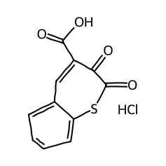 Cl.O=C(O)c1cc2ccccc2sc(=O)c1=O